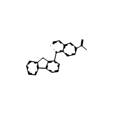 C=C(C)c1ccc2c(-c3cccc4c3Cc3ccccc3-4)nccc2c1